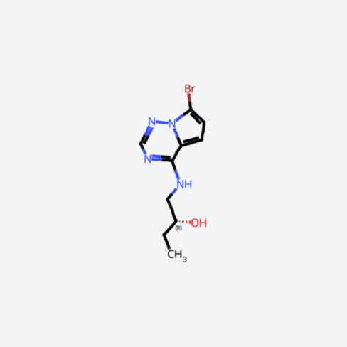 CC[C@@H](O)CNc1ncnn2c(Br)ccc12